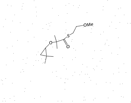 COCCSC(=O)C(C)(C)OC1CC1(C)C